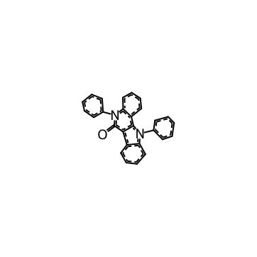 O=c1c2c3ccccc3n(-c3ccccc3)c2c2ccccc2n1-c1ccccc1